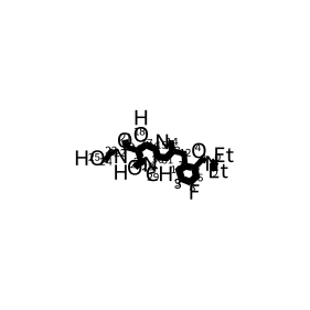 CCN(CC)C(=O)c1cc(F)ccc1Cc1cnc2c(O)c(C(=O)NCCO)c(=O)n(C)c2c1